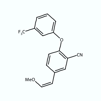 CO/C=C\c1ccc(Oc2cccc(C(F)(F)F)c2)c(C#N)c1